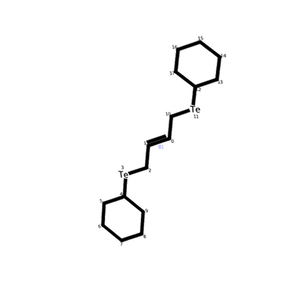 C(=C\C[Te]C1CCCCC1)/C[Te]C1CCCCC1